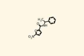 CC(NC(=O)c1ccc([N+](=O)[O-])o1)c1ccccc1